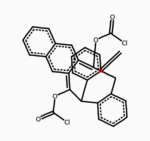 C=C1/C(OC(=O)Cl)=c2/cc3ccccc3c/c2=C(\OC(=O)Cl)C2c3ccccc3C1c1ccccc12